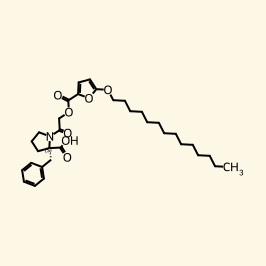 CCCCCCCCCCCCCCOc1ccc(C(=O)OCC(=O)N2CCC[C@]2(Cc2ccccc2)C(=O)O)o1